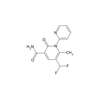 Cc1c(C(F)F)cc(C(N)=O)c(=O)n1-c1ccccn1